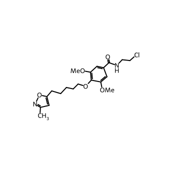 COc1cc(C(=O)NCCCl)cc(OC)c1OCCCCCc1cc(C)no1